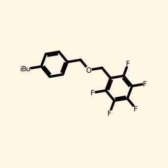 CCC(C)c1ccc(COCc2c(F)c(F)c(F)c(F)c2F)cc1